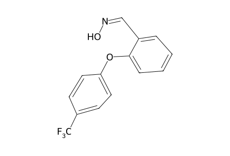 O/N=C\c1ccccc1Oc1ccc(C(F)(F)F)cc1